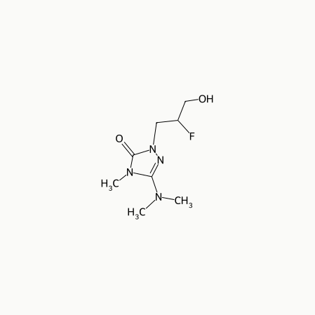 CN(C)c1nn(CC(F)CO)c(=O)n1C